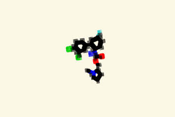 CN1CCC[C@H]1COC(=O)Nc1ccc(F)cc1-c1ccc(Cl)c(Cl)c1